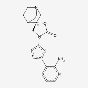 Nc1ncccc1-c1ccc(N2C[C@@]3(CN4CCC3CC4)OC2=O)s1